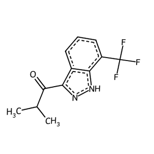 CC(C)C(=O)c1n[nH]c2c(C(F)(F)F)cccc12